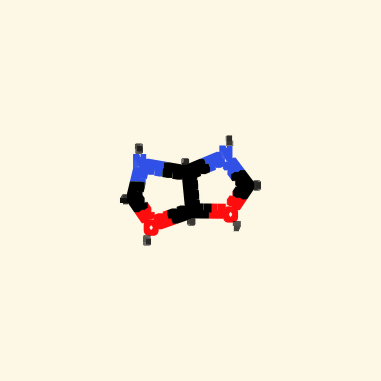 c1nc2ncoc2o1